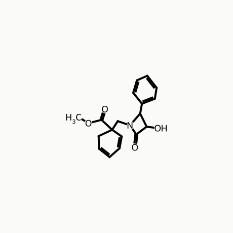 COC(=O)C1(CN2C(=O)C(O)C2c2ccccc2)C=CC=CC1